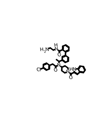 CC(c1cccc(-c2ccccc2C(=O)NCCN)c1)N(C(=O)Cc1ccc(Cl)cc1)C1CCN(C(=O)c2cc3ccccc3[nH]2)CC1